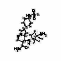 CC1(C)[C@H](Nc2c(C(N)=O)cnn3cc(-c4ccc(NS(C)(=O)=O)cc4)cc23)CC[C@]1(C)N